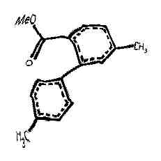 COC(=O)c1ccc(C)cc1-c1ccc(C)cc1